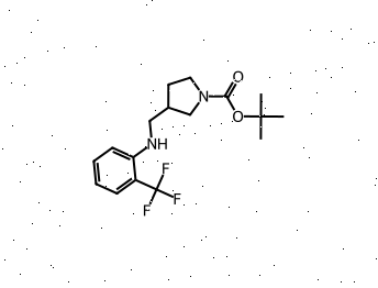 CC(C)(C)OC(=O)N1CCC(CNc2ccccc2C(F)(F)F)C1